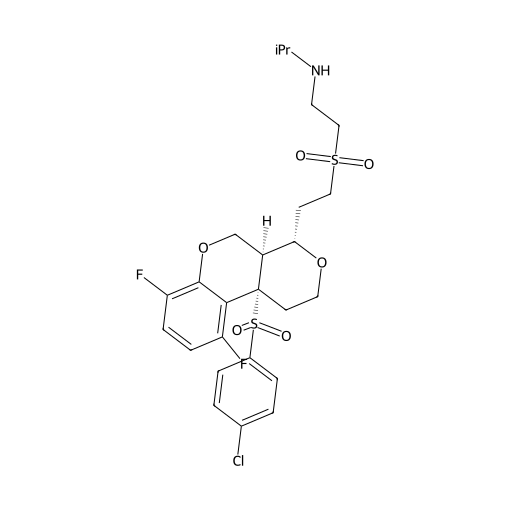 CC(C)NCCS(=O)(=O)CC[C@@H]1OCC[C@@]2(S(=O)(=O)c3ccc(Cl)cc3)c3c(F)ccc(F)c3OC[C@@H]12